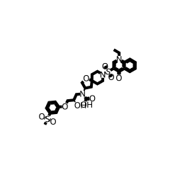 CCn1cc(S(=O)(=O)N2CCC3(CC2)C[C@@H](N(C[C@H](O)COc2cccc(S(C)(=O)=O)c2)C(=O)O)CO3)c(=O)c2ccccc21